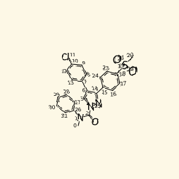 CN(C(=O)n1[c]c(-c2ccc(Cl)cc2)c(-c2ccc(S(C)(=O)=O)cc2)n1)c1ccccc1